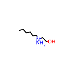 CCCCCCN(N)CCO